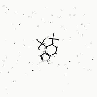 CC(C)(C)C1CCc2occc2C1C(C)(C)C